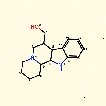 OCC1CN2CCCCC2C2Nc3ccccc3C12